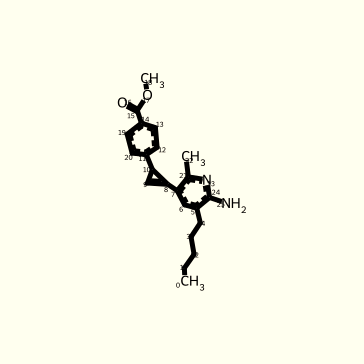 CCCCCc1cc(C2=CC2c2ccc(C(=O)OC)cc2)c(C)nc1N